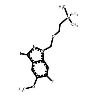 COc1cc2c(I)nn(COCC[Si](C)(C)C)c2cc1F